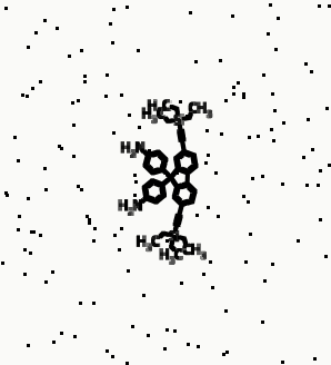 CC[Si](C#Cc1ccc2c(c1)C(c1ccc(N)cc1)(c1ccc(N)cc1)c1cc(C#C[Si](CC)(CC)CC)ccc1-2)(CC)CC